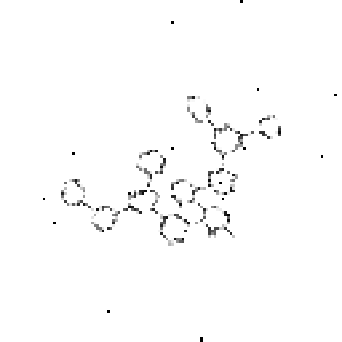 Cc1ccc(-c2c(-c3cccc(-c4cc(-c5ccccc5)nc(-c5ccccc5)n4)c3)cccc2-c2ccccc2-c2cc(-c3cccc(-c4ccccc4)c3)nc(-c3ccccc3)n2)c(C)n1